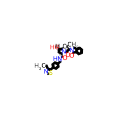 CCc1ncsc1-c1ccc(CNC(=O)[C@@H]2C[C@@H](O)CN2C(=O)[C@H](C(C)C)N2Cc3ccccc3C2=O)cc1